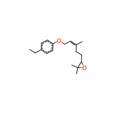 CCc1ccc(OCC=C(C)CCC2OC2(C)C)cc1